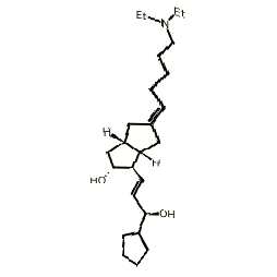 CCN(CC)CCCC/C=C1\C[C@H]2C[C@@H](O)[C@H](/C=C/[C@@H](O)C3CCCC3)[C@H]2C1